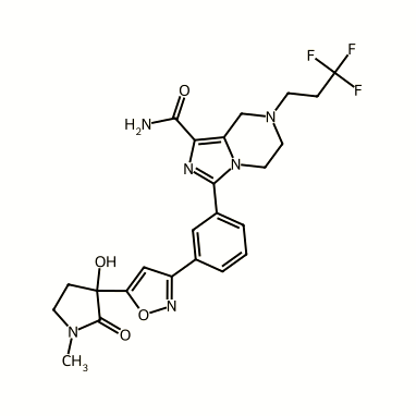 CN1CCC(O)(c2cc(-c3cccc(-c4nc(C(N)=O)c5n4CCN(CCC(F)(F)F)C5)c3)no2)C1=O